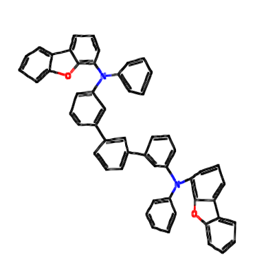 c1ccc(N(c2cccc(-c3cccc(-c4cccc(N(c5ccccc5)c5cccc6c5oc5ccccc56)c4)c3)c2)c2cccc3c2oc2ccccc23)cc1